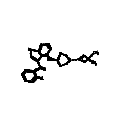 CC1(N)CN([C@H]2CC[C@H](Nc3ncnc4[nH]cc(C(=O)c5ccccc5Cl)c34)CC2)C1